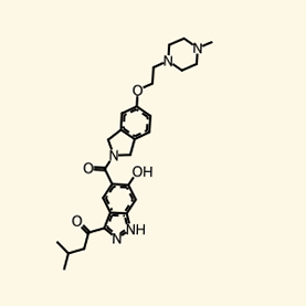 CC(C)CC(=O)c1n[nH]c2cc(O)c(C(=O)N3Cc4ccc(OCCN5CCN(C)CC5)cc4C3)cc12